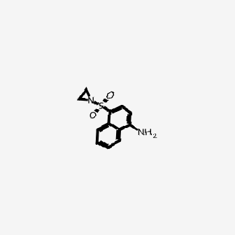 Nc1ccc(S(=O)(=O)N2CC2)c2ccccc12